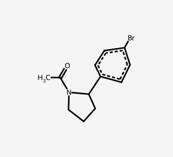 CC(=O)N1CCCC1c1ccc(Br)cc1